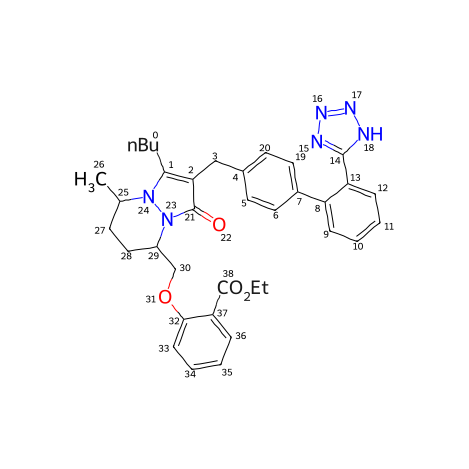 CCCCc1c(Cc2ccc(-c3ccccc3-c3nnn[nH]3)cc2)c(=O)n2n1C(C)CCC2COc1ccccc1C(=O)OCC